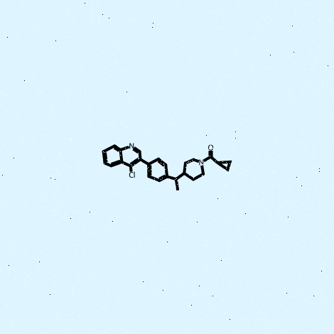 CC(c1ccc(-c2cnc3ccccc3c2Cl)cc1)C1CCN(C(=O)C2CC2)CC1